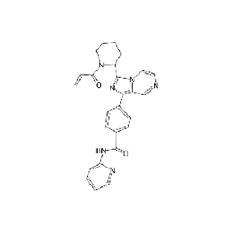 C=CC(=O)N1CCCCC1c1nc(-c2ccc(C(=O)Nc3ccccn3)cc2)c2cnccn12